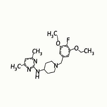 CCOc1cc(CN2CCC(Nc3nc(C)cc(C)n3)CC2)cc(OCC)c1F